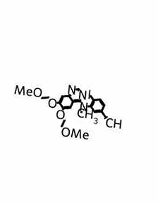 C#Cc1ccc(I)c(N(C)c2ncnc3cc(OCCOC)c(OCCOC)cc23)c1